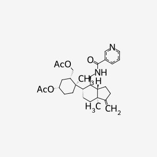 C=C1CC[C@H]2[C@H](CNC(=O)c3cccnc3)[C@@H]([C@@]3(C)CC[C@H](OC(C)=O)C[C@@H]3COC(C)=O)CC[C@]12C